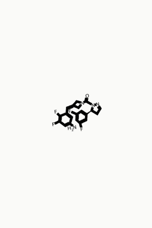 Nc1cc(F)c(F)c(C=C2CN(C(=O)N3N=CC[C@H]3c3cc(F)cc(F)c3)C2)c1